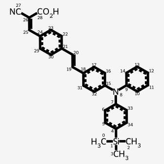 C[Si](C)(C)c1ccc(N(c2ccccc2)c2ccc(C=Cc3ccc(C=C(C#N)C(=O)O)cc3)cc2)cc1